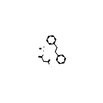 O=C(O)CC(=O)O[N+](=O)[O-].c1ccc(CCc2ccccc2)cc1